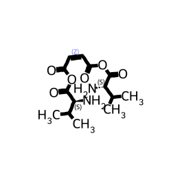 CC(C)[C@H](N)C(=O)OC(=O)/C=C\C(=O)OC(=O)[C@@H](N)C(C)C